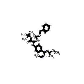 C/C=N\C(=N/C(C)OC)c1ccc(C[C@H](NC(=O)OCc2ccccc2)C(=O)OC(C)(C)C)cc1